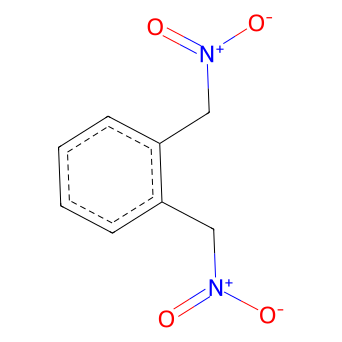 O=[N+]([O-])Cc1ccccc1C[N+](=O)[O-]